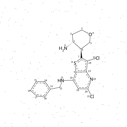 N[C@@H]1CCOC[C@H]1c1sc2c(NCc3ccccc3)cc(Cl)nc2c1Cl